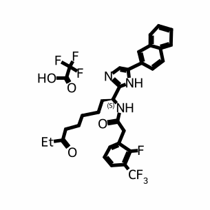 CCC(=O)CCCCC[C@H](NC(=O)Cc1cccc(C(F)(F)F)c1F)c1ncc(-c2ccc3ccccc3c2)[nH]1.O=C(O)C(F)(F)F